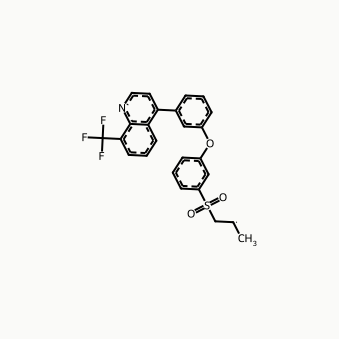 C[CH]CS(=O)(=O)c1cccc(Oc2cccc(-c3ccnc4c(C(F)(F)F)cccc34)c2)c1